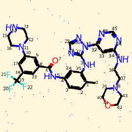 Cc1ccc(NC(=O)c2cc(N3CCNCC3)cc(C(F)(F)F)c2)cc1Nc1ncnn1-c1cc(NCCN2CCOCC2)ncn1